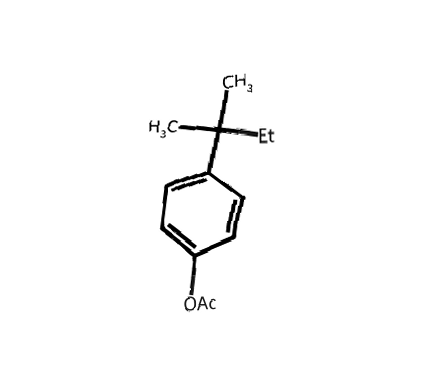 CCC(C)(C)c1ccc(OC(C)=O)cc1